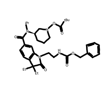 CCC1(CC)C(=O)N(CCNC(=O)OCc2ccccc2)c2cc(C(=O)N(C(C)C)[C@@H]3CCCN(OC(=O)C(C)(C)C)C3)ccc21